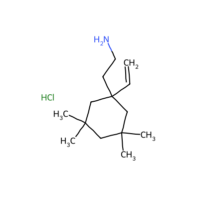 C=CC1(CCN)CC(C)(C)CC(C)(C)C1.Cl